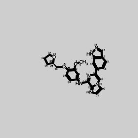 COc1cc(Nc2nc(-c3ccc4cn[nH]c4c3)cn3ccnc23)ccc1OC[C@H]1CCCO1